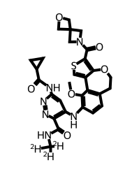 [2H]C([2H])([2H])NC(=O)c1nnc(NC(=O)C2CC2)cc1Nc1ccc2c(c1OC)-c1csc(C(=O)N3CC4(COC4)C3)c1OCC2